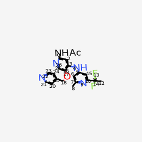 CC(=O)Nc1cc(Nc2cc(C)nc(C(C)(F)F)c2)c(OCc2ccncc2)cn1